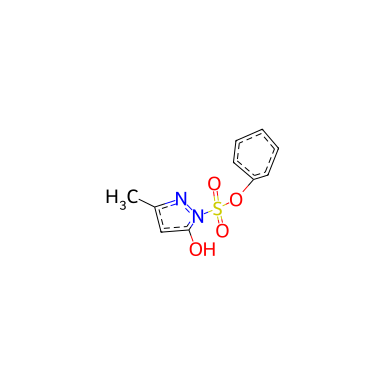 Cc1cc(O)n(S(=O)(=O)Oc2ccccc2)n1